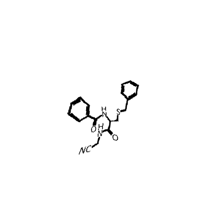 N#CCNC(=O)[C@H](CSCc1ccccc1)NC(=O)c1ccccc1